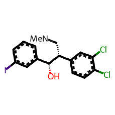 CNC[C@H](c1ccc(Cl)c(Cl)c1)[C@H](O)c1cccc(I)c1